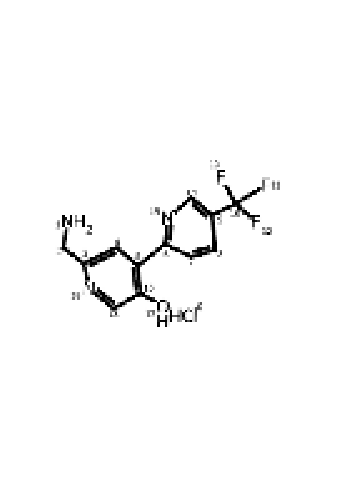 Cl.NCc1cc(-c2ccc(C(F)(F)F)cn2)c(O)cn1